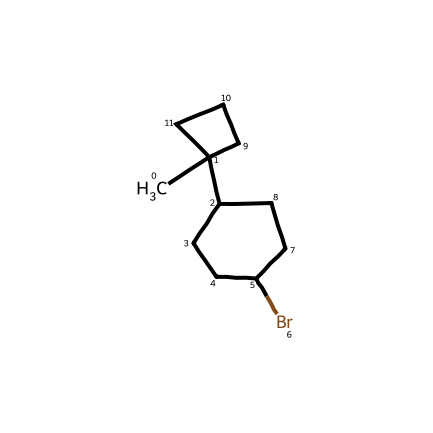 CC1(C2CCC(Br)CC2)CCC1